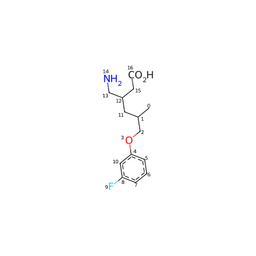 CC(COc1cccc(F)c1)CC(CN)CC(=O)O